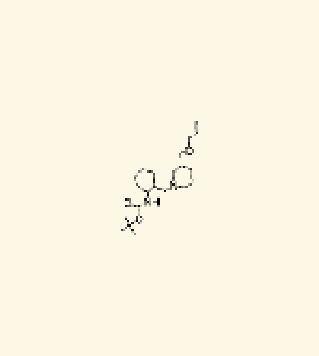 C=CCOC[C@H]1CCCN(CC2CCCCC2NC(=O)OC(C)(C)C)C1